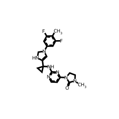 Cc1c(F)cc(N2C=C(C3(Nc4nccc(N5CCN(C)C5=O)n4)CC3)NC2)cc1F